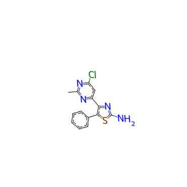 Cc1nc(Cl)cc(-c2nc(N)sc2-c2ccccc2)n1